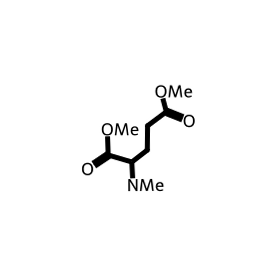 CNC(CCC(=O)OC)C(=O)OC